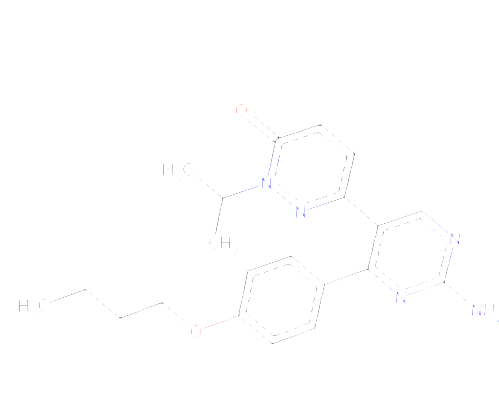 CCCCOc1ccc(-c2nc(N)ncc2-c2ccc(=O)n(C(C)C)n2)cc1